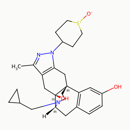 Cc1nn(C2CC[S+]([O-])CC2)c2c1C[C@@]1(O)[C@H]3Cc4ccc(O)cc4[C@@]1(CCN3CC1CC1)C2